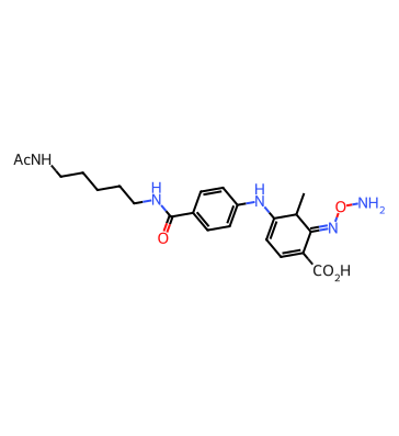 CC(=O)NCCCCCNC(=O)c1ccc(NC2=CC=C(C(=O)O)/C(=N/ON)C2C)cc1